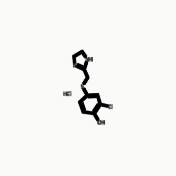 Cl.Oc1ccc(SCC2=NCCN2)cc1Cl